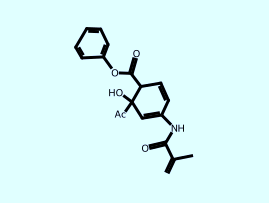 C=C(C)C(=O)NC1=CC(O)(C(C)=O)C(C(=O)Oc2ccccc2)C=C1